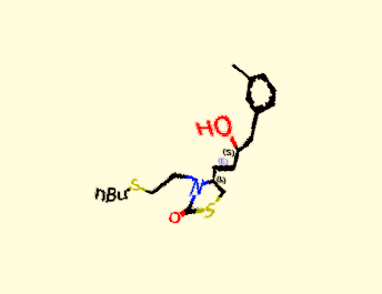 CCCCSCCN1C(=O)SC[C@@H]1/C=C/[C@@H](O)Cc1cccc(C)c1